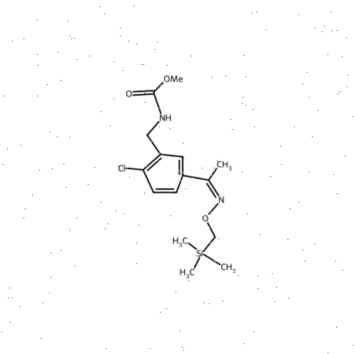 COC(=O)NCc1cc(/C(C)=N\OC[Si](C)(C)C)ccc1Cl